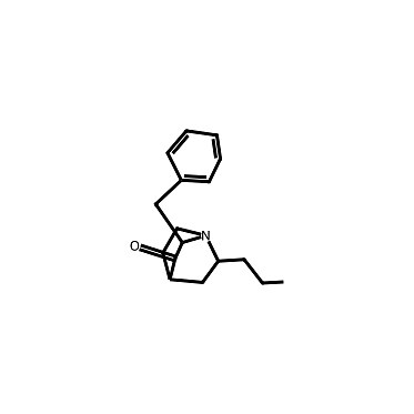 CCCC1CC2CCN1C(Cc1ccccc1)C2=O